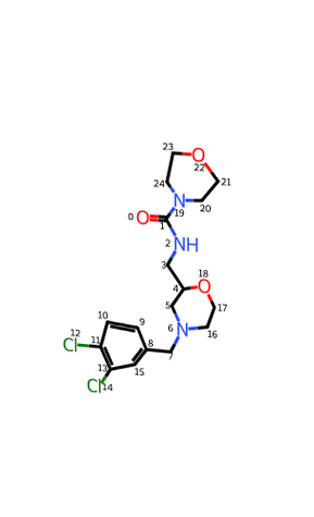 O=C(NCC1CN(Cc2ccc(Cl)c(Cl)c2)CCO1)N1CCOCC1